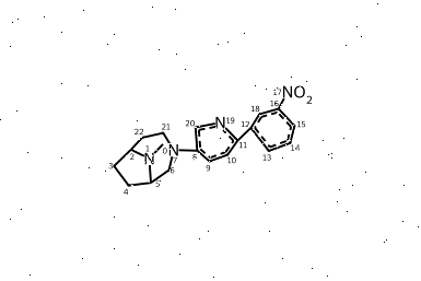 CN1C2CCC1CN(c1ccc(-c3cccc([N+](=O)[O-])c3)nc1)CC2